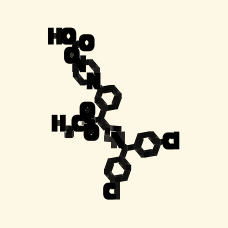 CS(=O)(=O)C(=C1CN(C(c2ccc(Cl)cc2)c2ccc(Cl)cc2)C1)c1cccc(N2CCN(OC(=O)O)CC2)c1